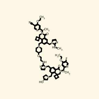 CCOc1cc([C@H](C)N2CC3(CCC3)c3c(CN4CC[C@@H](O)C4)cc(Cn4ccnc4NCCOC4CCN(Cc5cc(Cn6ccnc6NC)cc6c5C5(CCC5)CN([C@@H](C)c5cc(OCC)c(C#N)cn5)C6=O)CC4)cc3C2=O)ncc1F